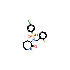 O=C1NCCCCC1N(Cc1ccccc1F)S(=O)(=O)c1ccc(Cl)cc1